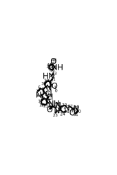 COc1nc(-c2ccnc(-c3cccc(NC(=O)c4nc5c(n4C)CCN(Cc4ncco4)C5)c3Cl)c2Cl)ccc1CNC[C@@H]1CCC(=O)N1